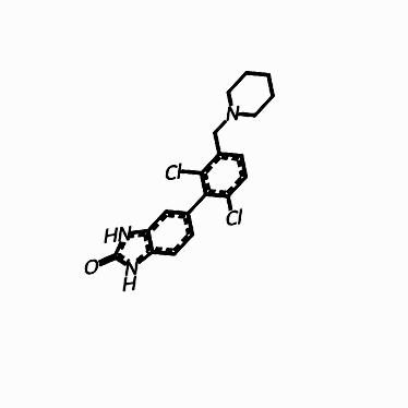 O=c1[nH]c2ccc(-c3c(Cl)ccc(CN4CCCCC4)c3Cl)cc2[nH]1